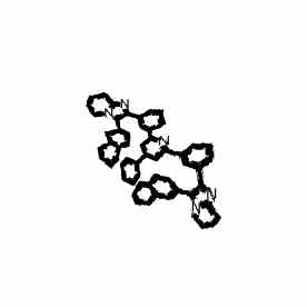 c1ccc(-c2cc(-c3cccc(-c4nc5ccccn5c4-c4ccc5ccccc5c4)c3)nc(-c3cccc(-c4nc5ccccn5c4-c4ccc5ccccc5c4)c3)c2)cc1